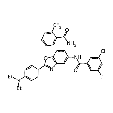 CCN(CC)c1ccc(-c2nc3cc(NC(=O)c4cc(Cl)cc(Cl)c4)ccc3o2)cc1.NC(=O)c1ccccc1C(F)(F)F